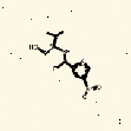 CC(C)[C@H](CO)NC(F)c1cc([N+](=O)[O-])cs1